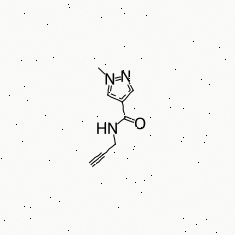 C#CCNC(=O)c1cnn(C)c1